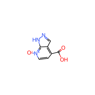 O=C(O)c1cc[n+]([O-])c2[nH]ncc12